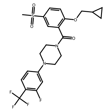 CS(=O)(=O)c1ccc(OCC2CC2)c(C(=O)N2CCN(c3ccc(C(F)(F)F)c(F)c3)CC2)c1